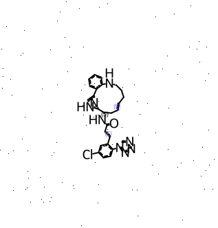 O=C(/C=C/c1cc(Cl)ccc1-n1cnnn1)N[C@H]1C/C=C/CCCNc2ccccc2-c2c[nH]c1n2